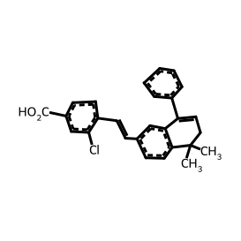 CC1(C)CC=C(c2ccccc2)c2cc(C=Cc3ccc(C(=O)O)cc3Cl)ccc21